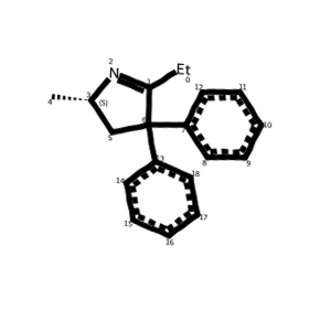 CCC1=N[C@@H](C)CC1(c1ccccc1)c1ccccc1